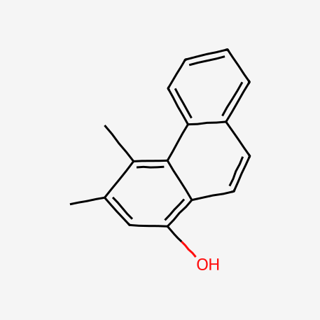 Cc1cc(O)c2ccc3ccccc3c2c1C